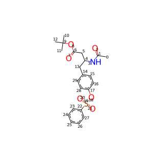 CC(=O)NC(CC(=O)OC(C)(C)C)Cc1ccc(OS(=O)(=O)c2ccccc2)cc1